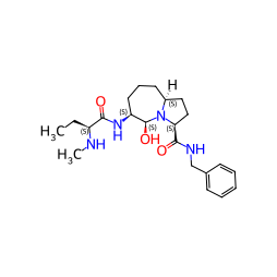 CC[C@H](NC)C(=O)N[C@H]1CCC[C@H]2CC[C@@H](C(=O)NCc3ccccc3)N2[C@H]1O